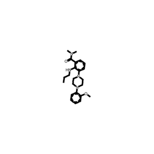 CCCNc1c(C(=O)N(C)C)cccc1N1CCN(c2ccccc2OC)CC1